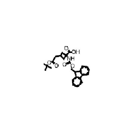 CC(C)(C)OC(=O)CC1CC(NC(=O)OCC2c3ccccc3-c3ccccc32)(C(=O)O)C1